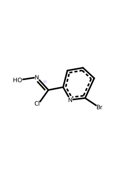 O/N=C(\Cl)c1cccc(Br)n1